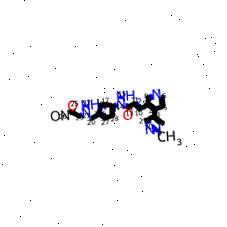 Cn1cc(-c2ccncc2/C=C/C(=O)N(N)c2ccc(CN(N)CC(=O)N=O)cc2)cn1